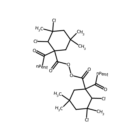 CCCCCC(=O)C1(C(=O)OOC(=O)C2(C(=O)CCCCC)CC(C)(C)CC(C)(Cl)C2Cl)CC(C)(C)CC(C)(Cl)C1Cl